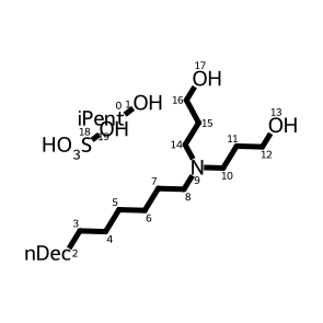 CCCC(C)O.CCCCCCCCCCCCCCCCN(CCCO)CCCO.O=S(=O)(O)O